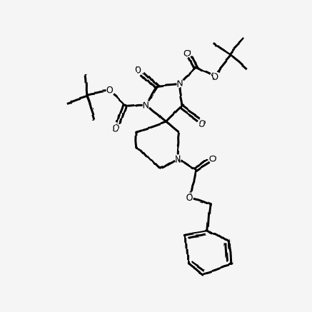 CC(C)(C)OC(=O)N1C(=O)N(C(=O)OC(C)(C)C)C2(CCCN(C(=O)OCc3ccccc3)C2)C1=O